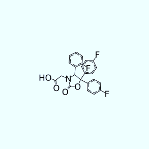 O=C(O)CN1C(=O)OC(c2ccc(F)cc2)(c2ccc(F)cc2)C1c1ccccc1F